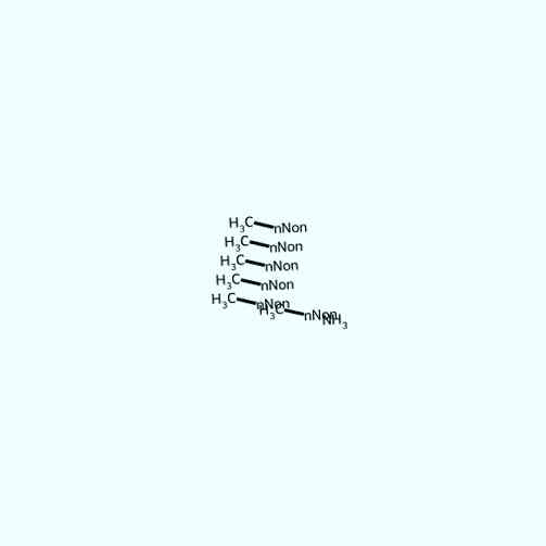 CCCCCCCCCC.CCCCCCCCCC.CCCCCCCCCC.CCCCCCCCCC.CCCCCCCCCC.CCCCCCCCCC.N